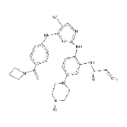 C=CC(=O)Nc1cc(N2CCN(CC)CC2)ccc1Nc1ncc(C#N)c(Nc2ccc(C(=O)N3CCC3)cc2)n1